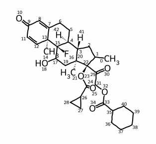 CC1C[C@H]2[C@@H]3CCC4=CC(=O)C=C[C@]4(C)[C@@]3(F)C(O)C[C@]2(C)[C@@]1(OC(=O)C1CC1)C(=O)COC(=O)C1CCCCC1